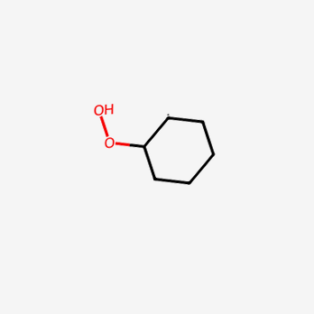 OOC1[CH]CCCC1